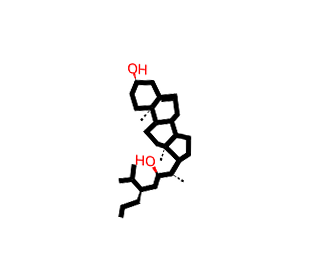 CCC[C@H](C[C@@H](O)[C@@H](C)C1CCC2C3CC=C4C[C@@H](O)CC[C@]4(C)C3CC[C@@]21C)C(C)C